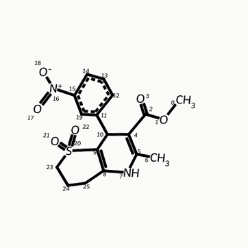 COC(=O)C1=C(C)NC2=C(C1c1cccc([N+](=O)[O-])c1)S(=O)(=O)CCC2